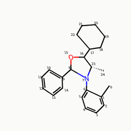 Cc1ccccc1N1C(c2ccccc2)OC(C2CCCCC2)[C@@H]1C